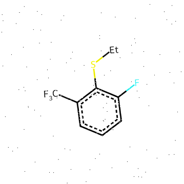 CCSc1c(F)cccc1C(F)(F)F